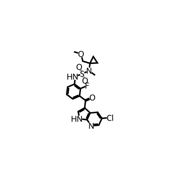 COCC1(N(C)S(=O)(=O)Nc2cccc(C(=O)c3c[nH]c4ncc(Cl)cc34)c2F)CC1